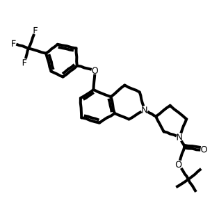 CC(C)(C)OC(=O)N1CCC(N2CCc3c(cccc3Oc3ccc(C(F)(F)F)cc3)C2)C1